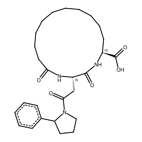 O=C1CCCCCCCCCC[C@@H](C(=O)O)NC(=O)[C@H](CC(=O)N2CCCC2c2ccccc2)N1